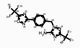 Nc1nc(C(F)(F)F)nn1Cc1ccc(-c2noc(C(F)(F)F)n2)cc1